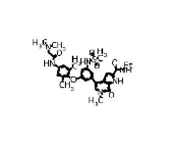 CCNC(=O)c1cc2c(-c3cc(NS(C)(=O)=O)cc(Oc4c(C)cc(NC(=O)CN(C)C)cc4C)c3)cn(C)c(=O)c2[nH]1